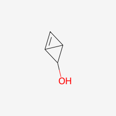 OC1C2=CC21